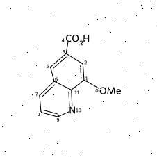 COc1cc(C(=O)O)cc2cccnc12